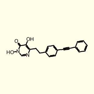 O=c1c(O)c(CCc2ccc(C#Cc3ccccc3)cc2)ncn1O